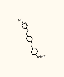 CCCCCCCC1CCC(CCC2CC=C(CCc3ccc(C#N)cc3)CC2)CC1